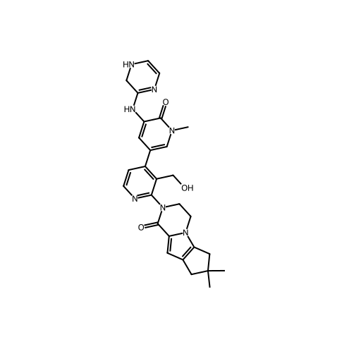 Cn1cc(-c2ccnc(N3CCn4c(cc5c4CC(C)(C)C5)C3=O)c2CO)cc(NC2=NC=CNC2)c1=O